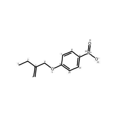 C=C(CC)COc1ccc([N+](=O)[O-])cc1